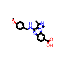 COc1ccc(CNc2nc3ccc(C(=O)O)cc3n3cnc(C)c23)cc1